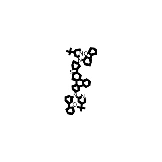 CC(C)(C)c1ccnc(N(c2ccc3sc4cc5c6ccc(N(c7cc(C(C)(C)C)ccn7)c7cccc8c7oc7ccccc78)cc6c6ccccc6c5cc4c3c2)c2cccc3c2oc2ccccc23)c1